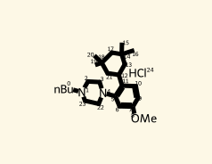 CCCCN1CCN(c2cc(OC)ccc2C2CC(C)(C)CC(C)(C)C2)CC1.Cl